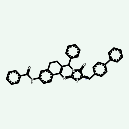 O=C(Nc1ccc2c(c1)CCC1=C2N=c2s/c(=C/c3ccc(-c4ccccc4)cc3)c(=O)n2C1c1ccccc1)c1ccccc1